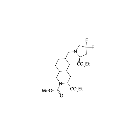 CCOC(=O)C1CC2CC(CN3CC(F)(F)C[C@H]3C(=O)OCC)CCC2CN1C(=O)OC